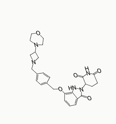 O=C1CCC(n2[nH]c3c(OCc4ccc(CN5CC(N6CCOCC6)C5)cc4)cccc3c2=O)C(=O)N1